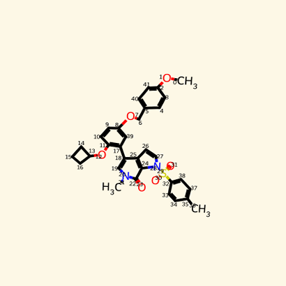 COc1ccc(COc2ccc(OC3CCC3)c(-c3cn(C)c(=O)c4c3ccn4S(=O)(=O)c3ccc(C)cc3)c2)cc1